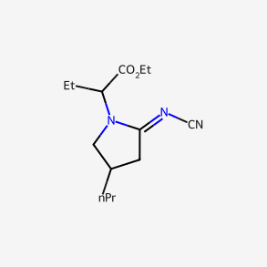 CCCC1CC(=NC#N)N(C(CC)C(=O)OCC)C1